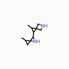 CC1C(C2NC23CC3C)C12CNC2